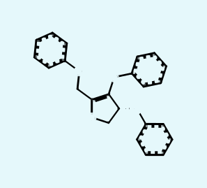 c1ccc(OCC2=C(Oc3ccccc3)[C@H](Oc3ccccc3)CO2)cc1